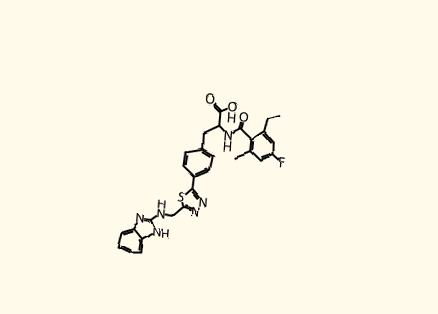 CCc1cc(F)cc(C)c1C(=O)NC(Cc1ccc(-c2nnc(CNc3nc4ccccc4[nH]3)s2)cc1)C(=O)O